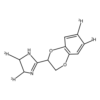 [2H]c1cc2c(cc1[2H])OC(C1=NC([2H])C([2H])N1)CO2